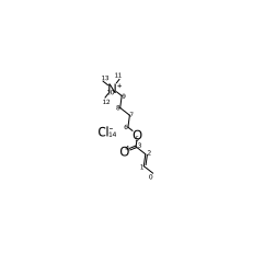 CC=CC(=O)OCCCC[N+](C)(C)C.[Cl-]